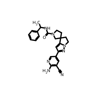 CC(NC(=O)N1CCC2(CCn3nc(-c4cnc(N)c(C#N)c4)cc32)C1)c1ccccc1